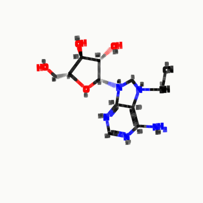 N#CBN1CN([C@@H]2O[C@H](CO)[C@@H](O)[C@@H]2O)c2ncnc(N)c21